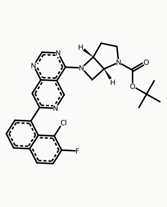 CC(C)(C)OC(=O)N1CC[C@@H]2[C@H]1CN2c1ncnc2cc(-c3cccc4ccc(F)c(Cl)c34)ncc12